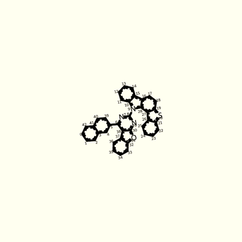 c1ccc2cc(-c3nc(-n4c5ccccc5c5ccc6sc7ccccc7c6c54)nc4oc5ccccc5c34)ccc2c1